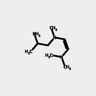 CC(N)CN(C)/C=C\N(C)C